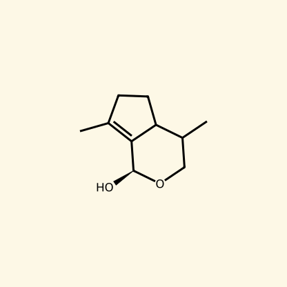 CC1=C2C(CC1)C(C)CO[C@H]2O